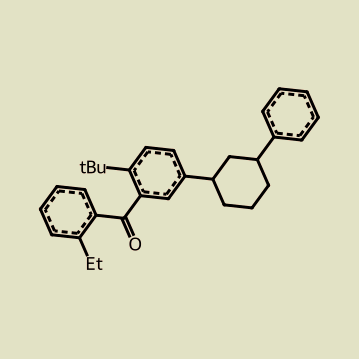 CCc1ccccc1C(=O)c1cc(C2CCCC(c3ccccc3)C2)ccc1C(C)(C)C